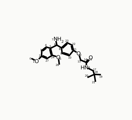 COc1ccc(C(N)c2ccc(OCC(=O)NCC(C)(C)C)cc2)c(OC)c1